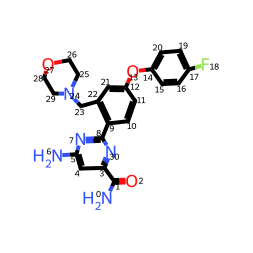 NC(=O)c1cc(N)nc(-c2ccc(Oc3ccc(F)cc3)cc2CN2CCOCC2)n1